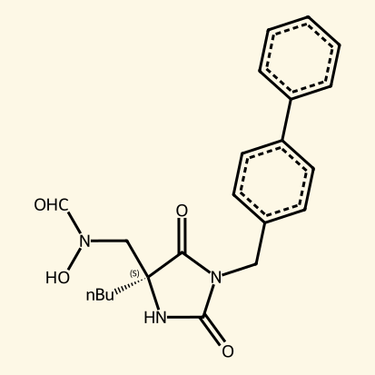 CCCC[C@@]1(CN(O)C=O)NC(=O)N(Cc2ccc(-c3ccccc3)cc2)C1=O